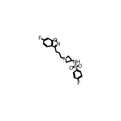 O=S(=O)(NC1CN(CCCc2noc3cc(F)ccc23)C1)c1ccc(F)cc1